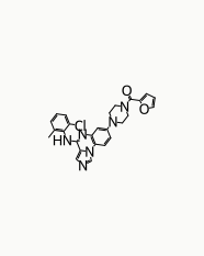 Cc1cccc(Cl)c1Nc1nc2cc(N3CCN(C(=O)c4ccco4)CC3)ccc2n2cncc12